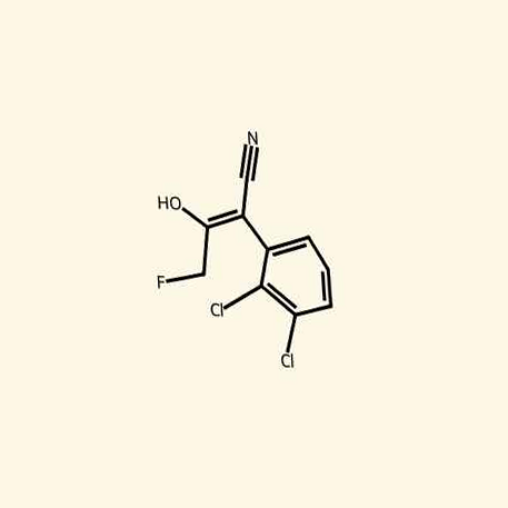 N#C/C(=C(\O)CF)c1cccc(Cl)c1Cl